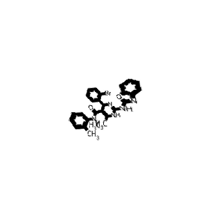 CC1=C(C(=O)N(C)c2ccccc2C)C(c2ccccc2Br)N=C(Nc2nc3ccccc3o2)N1